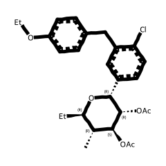 CCOc1ccc(Cc2cc([C@H]3O[C@H](CC)[C@@H](C)[C@H](OC(C)=O)[C@H]3OC(C)=O)ccc2Cl)cc1